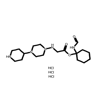 Cl.Cl.Cl.O=CNC1(OC(=O)CNN2CCN(C3CCNCC3)CC2)CCCCC1